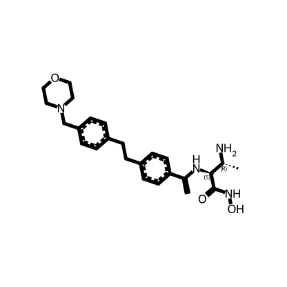 C=C(N[C@H](C(=O)NO)[C@@H](C)N)c1ccc(CCc2ccc(CN3CCOCC3)cc2)cc1